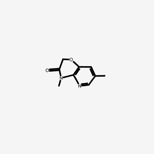 Cc1cnc2c(c1)OCC(=O)N2C